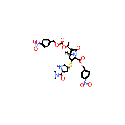 CC(OC(=O)OCc1ccc([N+](=O)[O-])cc1)[C@H]1C(=O)N2C(C(=O)OCc3ccc([N+](=O)[O-])cc3)=C(S[C@H]3C[C@@H](C(=O)N(C)C)N(C)C3)C[C@H]12